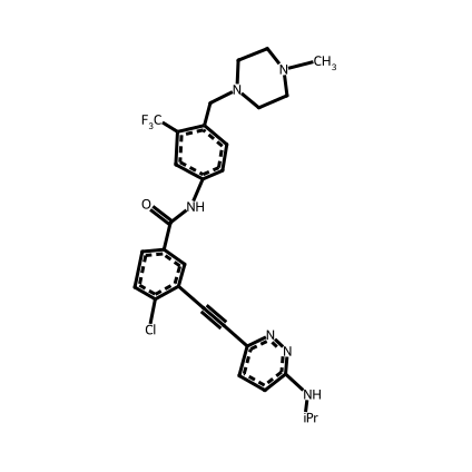 CC(C)Nc1ccc(C#Cc2cc(C(=O)Nc3ccc(CN4CCN(C)CC4)c(C(F)(F)F)c3)ccc2Cl)nn1